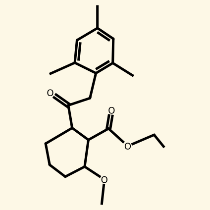 CCOC(=O)C1C(OC)CCCC1C(=O)Cc1c(C)cc(C)cc1C